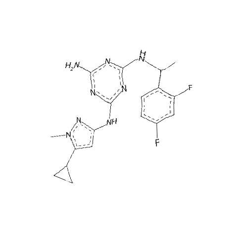 CC(Nc1nc(N)nc(Nc2cc(C3CC3)n(C)n2)n1)c1ccc(F)cc1F